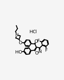 CCCN1CC(Oc2ccc(C(=O)c3c(-c4c(F)cccc4F)noc3-c3ccc(O)cc3)cc2)C1.Cl